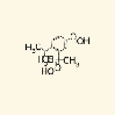 CC(C)c1ccc(OO)cc1C(C)(C)OO